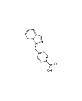 O=C(O)c1ccc(Cn2ncc3ccccc32)cc1